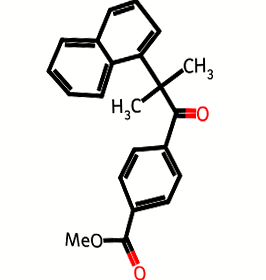 COC(=O)c1ccc(C(=O)C(C)(C)c2cccc3ccccc23)cc1